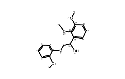 COc1ccccc1OCC(O)c1cccc(OC)c1OC